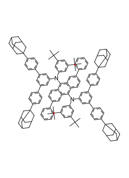 CC(C)(C)c1cc(N(c2cc(-c3ccc(C45CC6CC(CC(C6)C4)C5)cc3)cc(-c3ccc(C45CC6CC(CC(C6)C4)C5)cc3)c2)c2c3ccc(-c4ccccc4)cc3c(N(c3cc(-c4ccc(C56CC7CC(CC(C7)C5)C6)cc4)cc(-c4ccc(C56CC7CC(CC(C7)C5)C6)cc4)c3)c3cc(C(C)(C)C)cc(C(C)(C)C)c3)c3ccc(-c4ccccc4)cc23)cc(C(C)(C)C)c1